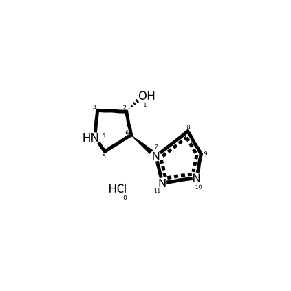 Cl.O[C@H]1CNC[C@@H]1n1ccnn1